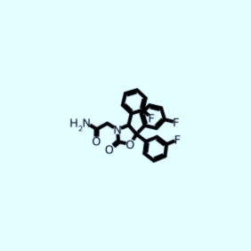 NC(=O)CN1C(=O)OC(c2cccc(F)c2)(c2cccc(F)c2)C1c1ccccc1F